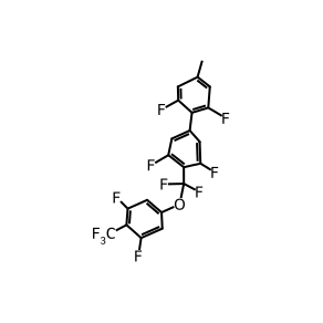 Cc1cc(F)c(-c2cc(F)c(C(F)(F)Oc3cc(F)c(C(F)(F)F)c(F)c3)c(F)c2)c(F)c1